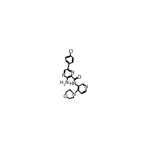 Nc1ncc(-c2ccc(Cl)cc2)nc1C(=O)Nc1cnccc1N1CCOCC1